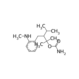 CNc1ccccc1CC(C(C)C)C(C)(C)OC(N)=O